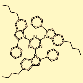 CCCCc1ccc2c(c1)cc(-c1ccccc1)n2-c1nc(-n2c(-c3ccccc3)cc3cc(CCCC)ccc32)nc(-n2c(-c3ccccc3)cc3cc(CCCC)ccc32)n1